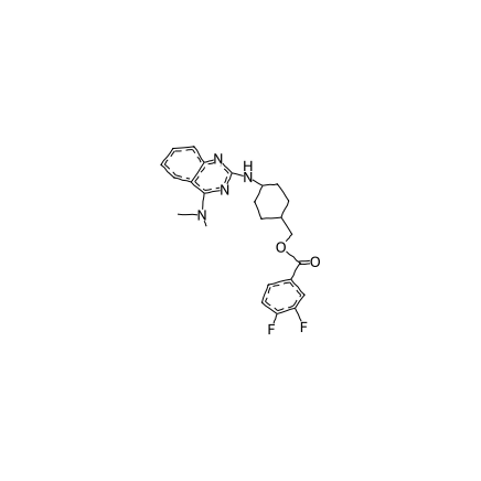 CN(C)c1nc(NC2CCC(COC(=O)c3ccc(F)c(F)c3)CC2)nc2ccccc12